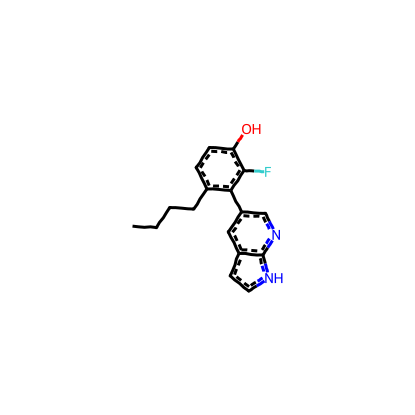 CCCCc1ccc(O)c(F)c1-c1cnc2[nH]ccc2c1